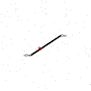 CCCCCCCCCCCCCCCCCCCCCCCCCCCCCCCCCCOC(=O)CCCCCCCCCCCCCCCCCCCCC